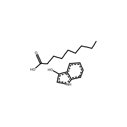 CCCCCCCCC(=O)O.Oc1c[nH]c2ccccc12